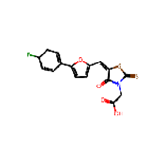 O=C(O)CN1C(=O)/C(=C\c2ccc(C3=CCC(F)C=C3)o2)SC1=S